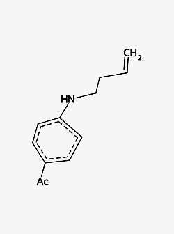 C=CCCNc1ccc(C(C)=O)cc1